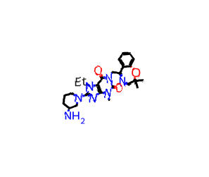 CCn1c(N2CCCC(N)C2)nc2c1c(=O)n(CC1=NCC(C)(C)Oc3ccccc31)c(=O)n2C